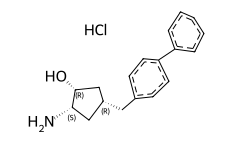 Cl.N[C@H]1C[C@@H](Cc2ccc(-c3ccccc3)cc2)C[C@H]1O